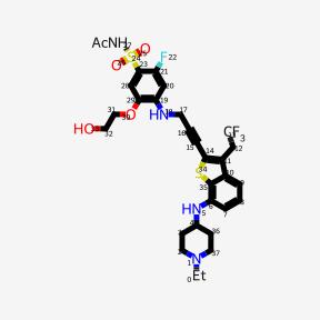 CCN1CCC(Nc2cccc3c(CC(F)(F)F)c(C#CCNc4cc(F)c(S(=O)(=O)NC(C)=O)cc4OCCO)sc23)CC1